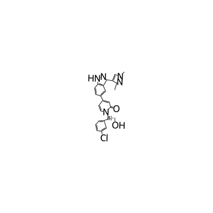 Cc1nn(C)cc1-c1n[nH]c2ccc(-c3ccn([C@H](CO)c4cccc(Cl)c4)c(=O)c3)cc12